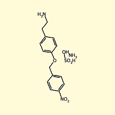 N.NCCc1ccc(OCc2ccc([N+](=O)[O-])cc2)cc1.O=S(=O)(O)O